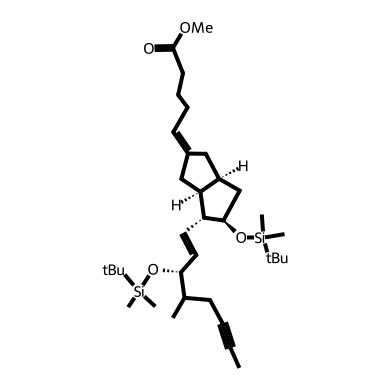 CC#CCC(C)[C@@H](/C=C/[C@@H]1[C@H]2C/C(=C/CCCC(=O)OC)C[C@H]2C[C@H]1O[Si](C)(C)C(C)(C)C)O[Si](C)(C)C(C)(C)C